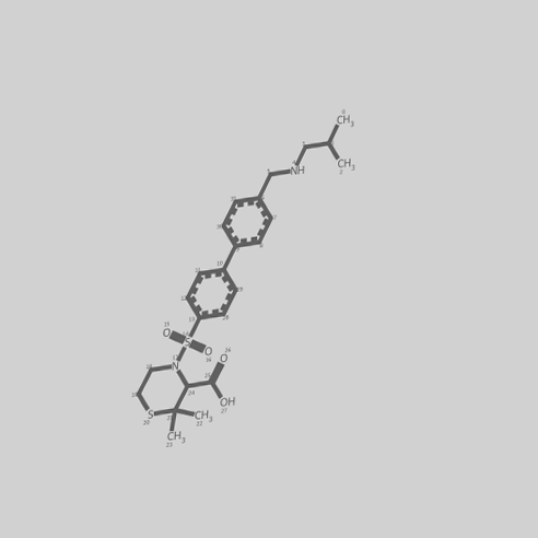 CC(C)CNCc1ccc(-c2ccc(S(=O)(=O)N3CCSC(C)(C)C3C(=O)O)cc2)cc1